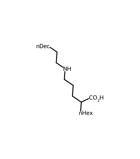 CCCCCCCCCCCCNCCCC(CCCCCC)C(=O)O